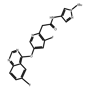 CC(C)(C)n1cc(NC(=O)Cc2ncc(Oc3ncnc4ccc(F)cc34)cc2F)cn1